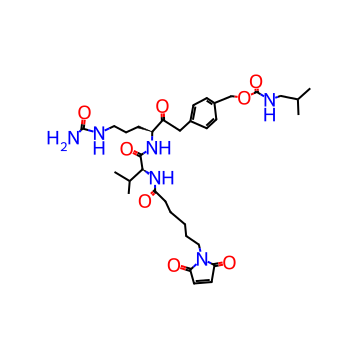 CC(C)CNC(=O)OCc1ccc(CC(=O)[C@H](CCCNC(N)=O)NC(=O)[C@@H](NC(=O)CCCCCN2C(=O)C=CC2=O)C(C)C)cc1